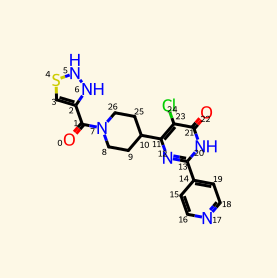 O=C(C1=CSNN1)N1CCC(c2nc(-c3ccncc3)[nH]c(=O)c2Cl)CC1